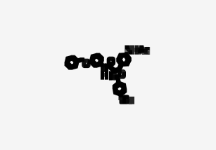 CC(=O)Nc1ccc(-c2oc(-c3ccc(C(C)(C)C)cc3)nc2C(=O)Nc2cccc(OCc3ccccc3)c2)cc1